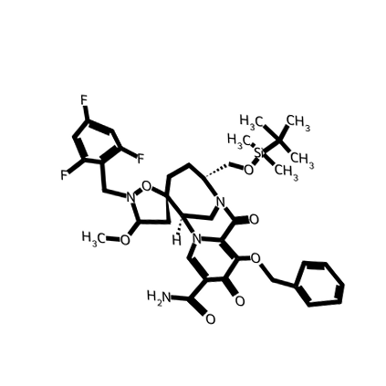 COC1C[C@]2(CC[C@H](CO[Si](C)(C)C(C)(C)C)N3C[C@H]2n2cc(C(N)=O)c(=O)c(OCc4ccccc4)c2C3=O)ON1Cc1c(F)cc(F)cc1F